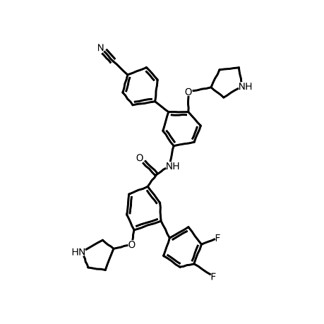 N#Cc1ccc(-c2cc(NC(=O)c3ccc(OC4CCNC4)c(-c4ccc(F)c(F)c4)c3)ccc2OC2CCNC2)cc1